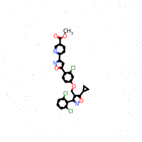 COC(=O)c1ccc(-c2cc(-c3ccc(OCc4c(-c5c(Cl)cccc5Cl)noc4C4CC4)cc3Cl)on2)nc1